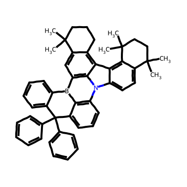 CC1(C)CCC(C)(C)c2c1ccc1c2c2c3c(cc4c2n1-c1cccc2c1B4c1ccccc1C2(c1ccccc1)c1ccccc1)C(C)(C)CCC3